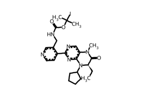 CC[C@@H]1C(=O)N(C)c2cnc(-c3ccncc3CNC(=O)OC(C)(C)I)nc2N1C1CCCC1